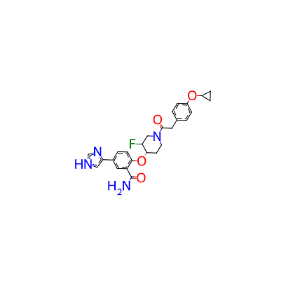 NC(=O)c1cc(-c2c[nH]cn2)ccc1O[C@H]1CCN(C(=O)Cc2ccc(OC3CC3)cc2)CC1F